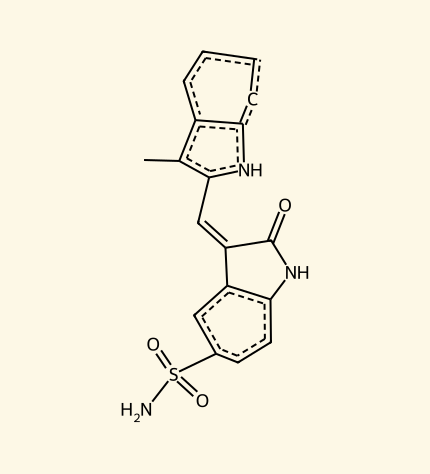 Cc1c(/C=C2\C(=O)Nc3ccc(S(N)(=O)=O)cc32)[nH]c2ccccc12